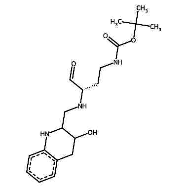 CC(C)(C)OC(=O)NCC[C@@H](C=O)NCC1Nc2ccccc2CC1O